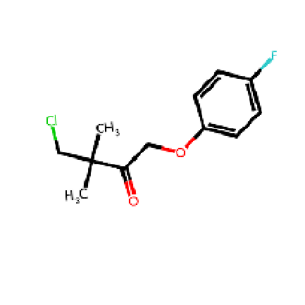 CC(C)(CCl)C(=O)COc1ccc(F)cc1